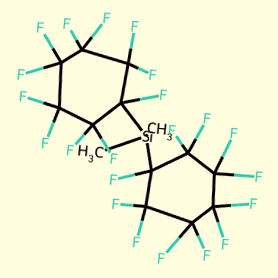 C[Si](C)(C1(F)C(F)(F)C(F)(F)C(F)(F)C(F)(F)C1(F)F)C1(F)C(F)(F)C(F)(F)C(F)(F)C(F)(F)C1(F)F